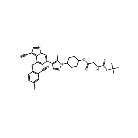 Cc1c(-c2cc(Sc3ccc(F)cc3C#N)c3c(C#N)cnn3c2)cnn1C1CCC(OC(=O)CNC(=O)OC(C)(C)C)CC1